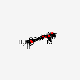 C=C1CCC(N2C(=O)c3ccc(OCCOCCN4CCN(Cc5ccc6c(c5)nc(NC(=O)c5cccc(C(F)(F)F)c5)n6[C@H]5CC[C@@H](CO)CC5)CC4)cc3C2=O)C(=O)N1